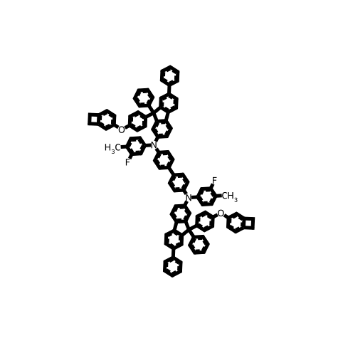 Cc1ccc(N(c2ccc(-c3ccc(N(c4ccc(C)c(F)c4)c4ccc5c(c4)C(c4ccccc4)(c4ccc(Oc6ccc7c(c6)CC7)cc4)c4cc(-c6ccccc6)ccc4-5)cc3)cc2)c2ccc3c(c2)C(c2ccccc2)(c2ccc(Oc4ccc5c(c4)CC5)cc2)c2cc(-c4ccccc4)ccc2-3)cc1F